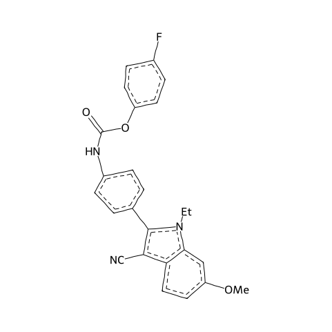 CCn1c(-c2ccc(NC(=O)Oc3ccc(F)cc3)cc2)c(C#N)c2ccc(OC)cc21